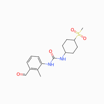 Cc1c(C=O)cccc1NC(=O)NC1CCC(S(C)(=O)=O)CC1